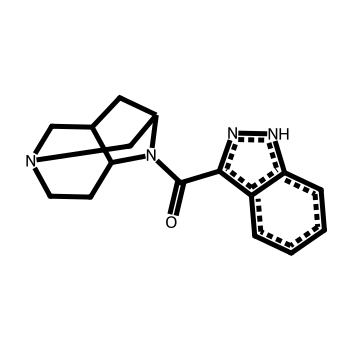 O=C(c1n[nH]c2ccccc12)N1C2CC3CN(CCC31)C2